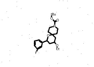 CCOC1CC(c2cccc(F)c2)OC2(CCN(C(=O)OC(C)(C)C)CC2)C1